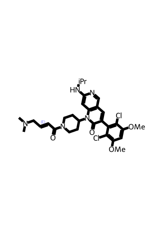 COc1cc(OC)c(Cl)c(-c2cc3cnc(NC(C)C)cc3n(C3CCN(C(=O)/C=C/CN(C)C)CC3)c2=O)c1Cl